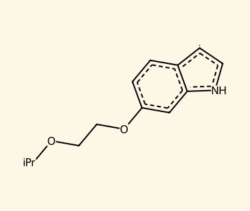 CC(C)OCCOc1ccc2[c]c[nH]c2c1